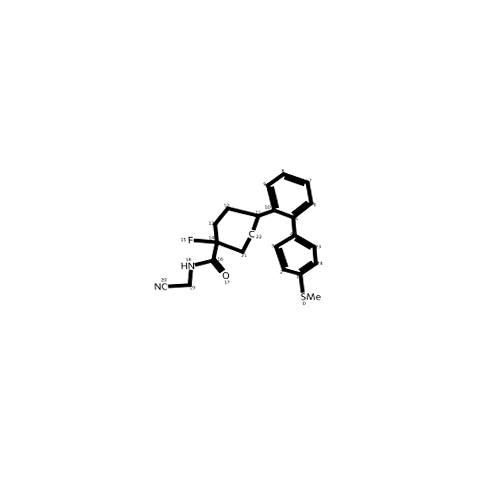 CSc1ccc(-c2ccccc2C2CCC(F)(C(=O)NCC#N)CC2)cc1